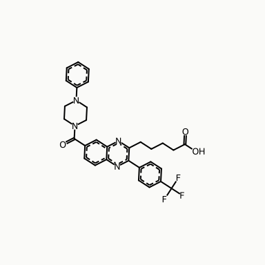 O=C(O)CCCCc1nc2cc(C(=O)N3CCN(c4ccccc4)CC3)ccc2nc1-c1ccc(C(F)(F)F)cc1